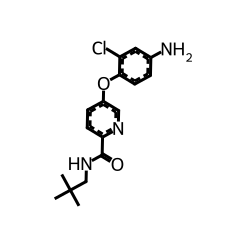 CC(C)(C)CNC(=O)c1ccc(Oc2ccc(N)cc2Cl)cn1